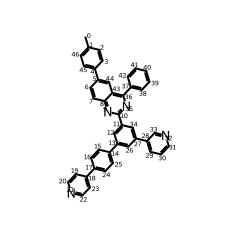 Cc1ccc(-c2ccc3nc(-c4cc(-c5ccc(-c6ccncc6)cc5)cc(-c5cccnc5)c4)nc(-c4ccccc4)c3c2)cc1